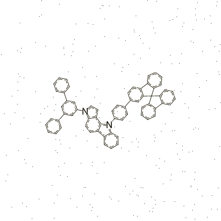 c1ccc(-c2cc(-c3ccccc3)cc(-n3ccc4c3ccc3c5ccccc5n(-c5ccc(-c6ccc7c(c6)C6(c8ccccc8-c8ccccc86)c6ccccc6-7)cc5)c34)c2)cc1